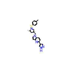 Cc1ccc(SN2C[C@@H](Cn3ccc4nc(-c5cn[nH]c5)ccc43)C[C@@H]2C)cc1